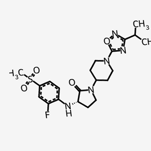 CC(C)c1noc(N2CCC(N3CC[C@H](Nc4ccc(S(C)(=O)=O)cc4F)C3=O)CC2)n1